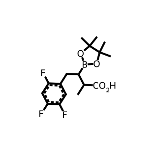 CC(C(=O)O)C(Cc1cc(F)c(F)cc1F)B1OC(C)(C)C(C)(C)O1